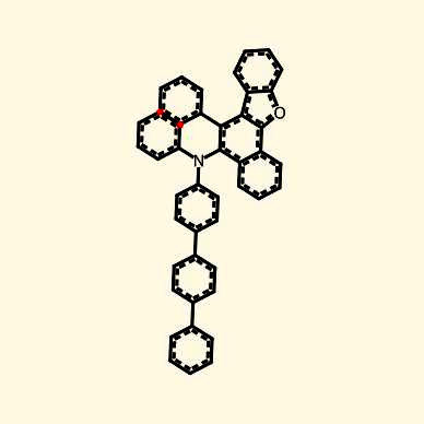 c1ccc(-c2ccc(-c3ccc(N(c4ccccc4)c4c(-c5ccccc5)c5c6ccccc6oc5c5ccccc45)cc3)cc2)cc1